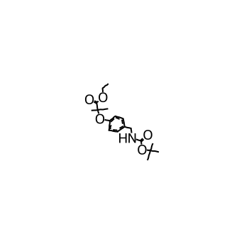 CCOC(=O)C(C)(C)Oc1ccc(CNC(=O)OC(C)(C)C)cc1